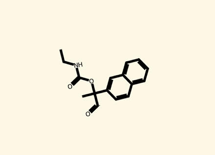 CCNC(=O)OC(C)([C]=O)c1ccc2ccccc2c1